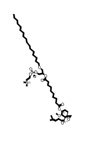 CCCCCCCCCCCCCCCCCOCC(COP(=O)([O-])OCC[N+](C)(C)C)OC(=O)CCCCCCCCC(=O)O[C@@H]1CC[C@]2(CO2)[C@@H]([C@@]2(C)OC2CC=C(C)C)[C@@H]1OC